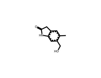 Cc1cc2c(cc1CO)NC(=O)C2